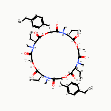 CC(C)C[C@H]1C(=O)O[C@H](Cc2ccc(CC#N)cc2)C(=O)N(C)[C@@H](CC(C)C)C(=O)O[C@H](C)C(=O)N(C)[C@@H](CC(C)C)C(=O)O[C@H](Cc2ccc(CC#N)cc2)C(=O)N(C)[C@@H](CC(C)C)C(=O)O[C@H](C)C(=O)N1C